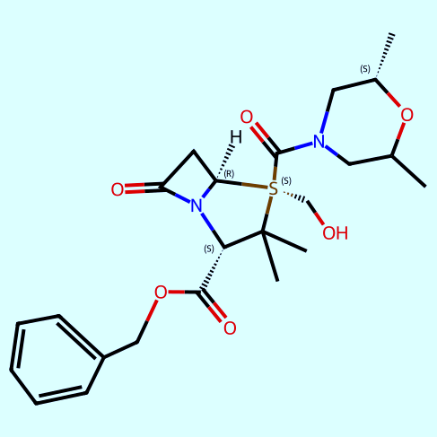 CC1CN(C(=O)[S@]2(CO)[C@@H]3CC(=O)N3[C@@H](C(=O)OCc3ccccc3)C2(C)C)C[C@H](C)O1